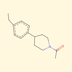 CCc1ccc(C2CCN(C(C)=O)CC2)cc1